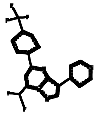 FC(F)c1cc(-c2ccc(C(F)(F)F)cc2)nc2c(-c3ccncc3)cnn12